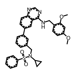 COc1ccc(CNc2ncnc3ccc(-c4cccc(CN(C5CC5)S(=O)(=O)c5ccccc5)c4)cc23)c(OC)c1